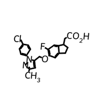 Cc1cc(COc2cc3c(cc2F)C(CC(=O)O)CC3)n(-c2ccc(Cl)cc2)n1